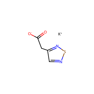 O=C([O-])Cc1cnsn1.[K+]